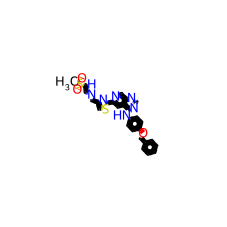 CS(=O)(=O)CCNCc1csc(-c2cc3c(Nc4ccc(OCc5ccccc5)cc4)ncnc3cn2)n1